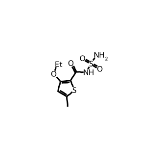 CCOc1cc(C)sc1C(=O)NS(N)(=O)=O